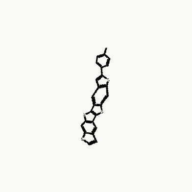 Cc1ccc(-c2cc3cc4c(cc3s2)sc2c3cc5ccsc5cc3sc42)cc1